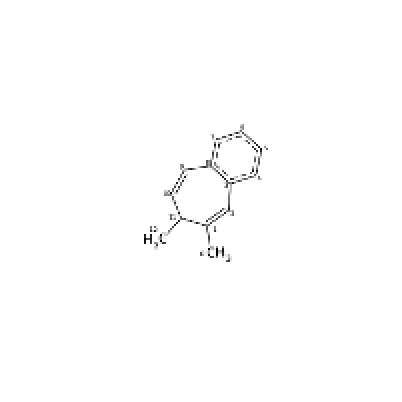 CC1=Cc2ccccc2C=CC1C